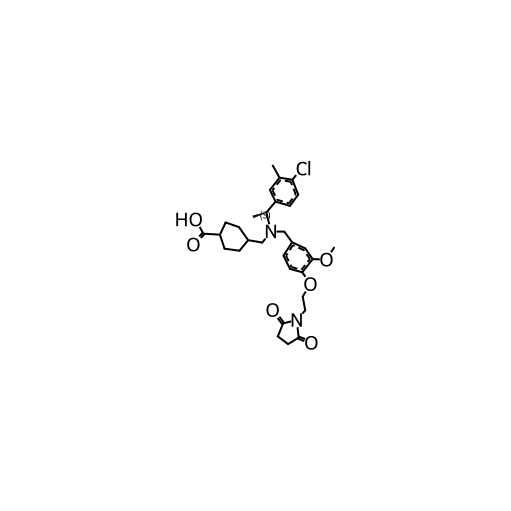 COc1cc(CN(CC2CCC(C(=O)O)CC2)[C@@H](C)c2ccc(Cl)c(C)c2)ccc1OCCN1C(=O)CCC1=O